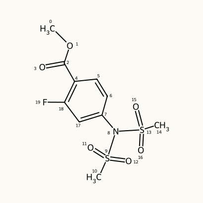 COC(=O)c1ccc(N(S(C)(=O)=O)S(C)(=O)=O)cc1F